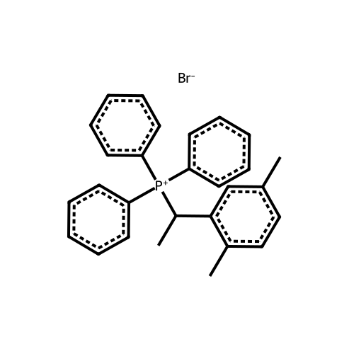 Cc1ccc(C)c(C(C)[P+](c2ccccc2)(c2ccccc2)c2ccccc2)c1.[Br-]